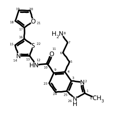 Cc1nc2c(CCCN)c(C(=O)Nc3ncc(-c4ccco4)s3)ccc2[nH]1